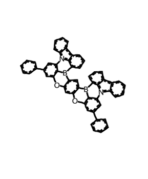 c1ccc(-c2cc3c4c(c2)-n2c5ccccc5c5cccc(c52)B4c2cc4c(cc2O3)Oc2cc(-c3ccccc3)cc3c2B4c2cccc4c5ccccc5n-3c24)cc1